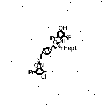 CCCCCCCN(CCN1CCN(CCSc2nc3c(C)c(Cl)cc(C(C)C)c3o2)CC1)C(=O)Nc1c(C(C)C)cc(O)cc1C(C)C